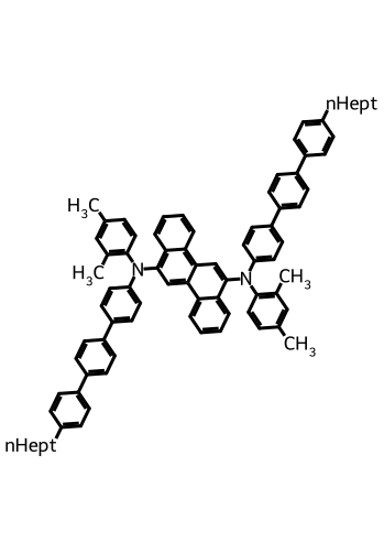 CCCCCCCc1ccc(-c2ccc(-c3ccc(N(c4ccc(C)cc4C)c4cc5c6ccccc6c(N(c6ccc(-c7ccc(-c8ccc(CCCCCCC)cc8)cc7)cc6)c6ccc(C)cc6C)cc5c5ccccc45)cc3)cc2)cc1